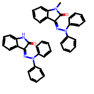 CN1C(=O)/C(=N\N(c2ccccc2)c2ccccc2)c2ccccc21.O=C1Nc2ccccc2/C1=N/N(c1ccccc1)c1ccccc1